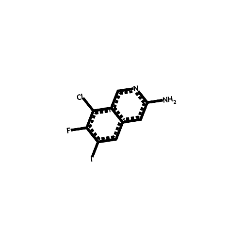 Nc1cc2cc(I)c(F)c(Cl)c2cn1